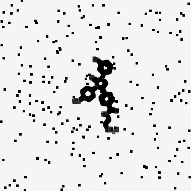 CC(C)(C)C1CCC(N2C(=O)N(c3cccc(Br)c3)CC2c2ccc(C(=O)NCCC(=O)O)cc2)CC1